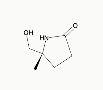 C[C@]1(CO)CCC(=O)N1